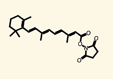 CC1=C(/C=C/C(C)=C/C=C/C(C)=C/C(=O)ON2C(=O)CCC2=O)C(C)(C)CCC1